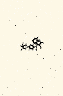 Cc1nc2c(C)cccc2c(Nc2ccc(N3CN(C)C(C)(C)C3)cc2)c1C